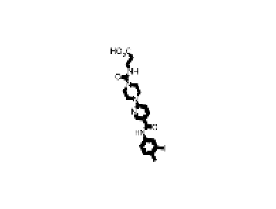 Cc1ccc(NC(=O)c2ccc(N3CCN(C(=O)NCCC(=O)O)CC3)nc2)cc1I